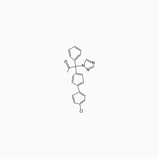 CC(=O)C(c1ccccc1)(c1ccc(-c2ccc(Cl)cc2)cc1)n1cncn1